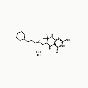 CC1(C)Nc2nc(N)[nH]c(=O)c2NC1COCCCC1CCCCC1.Cl.Cl